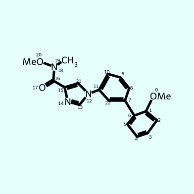 COc1ccccc1-c1cccc(-n2cnc(C(=O)N(C)OC)c2)c1